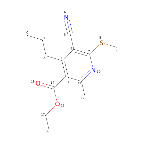 CCCc1c(C#N)c(SC)nc(C)c1C(=O)OCC